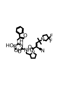 CC(C)(C=C(C#N)C(=O)N1CCCC1CNC(=O)N[C@@H](Cc1coc2ccccc12)B(O)O)N1CCC(F)(F)C1